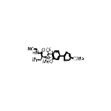 COc1ccc(-c2ccc([C@H](N[C@@H](CC(C)C)C(=O)NCC#N)C(F)(F)F)c(OC)c2)cc1